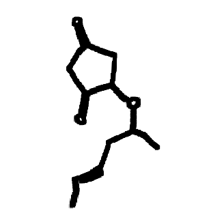 CC=CCC(C)OC1CC(=O)CC1=O